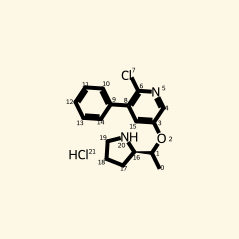 CC(Oc1cnc(Cl)c(-c2ccccc2)c1)[C@H]1CCCN1.Cl